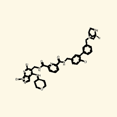 CCc1nc2c(cnn2CC)c(NC2CCOCC2)c1CNC(=O)c1cccc(C(=O)NCc2ccc(Cl)c(-c3cccc(CN4C[C@@H]5CC4CN5)c3)c2)n1